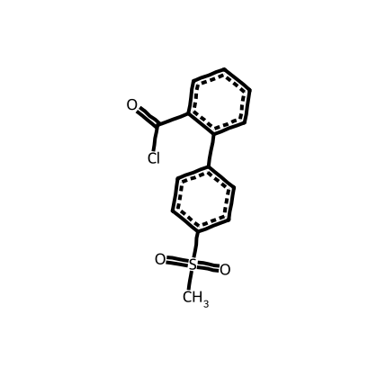 CS(=O)(=O)c1ccc(-c2ccccc2C(=O)Cl)cc1